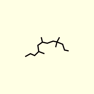 CCCC(C)C[C](C)CCC(C)(C)CCC